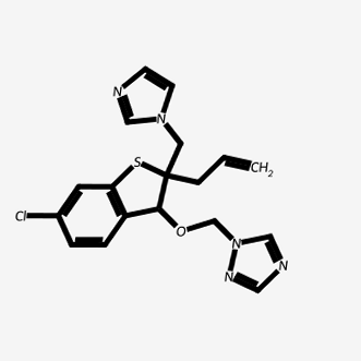 C=CCC1(Cn2ccnc2)Sc2cc(Cl)ccc2C1OCn1cncn1